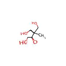 CC(CO)(CO)C(=O)CO